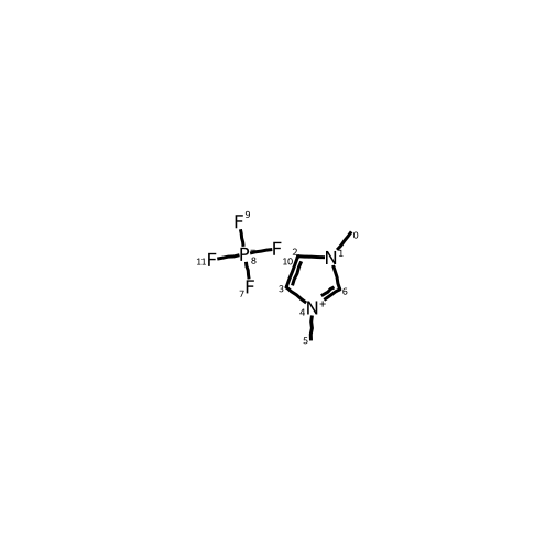 Cn1cc[n+](C)c1.F[P-](F)(F)F